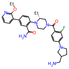 CCOc1ncccc1-c1ccc(N2CCN(C(=O)c3ccc(N4CCC(CN)C4)cc3F)C[C@H]2CC)c(C(N)=O)c1